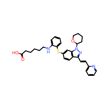 O=C(O)CCCCCNc1ccccc1Sc1ccc2c(C=Cc3ccccn3)nn(C3CCCCO3)c2c1